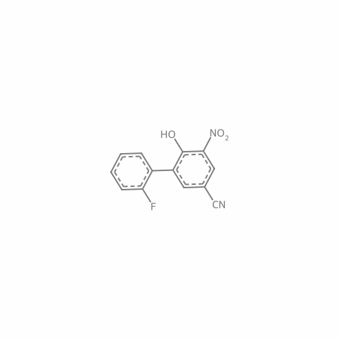 N#Cc1cc(-c2ccccc2F)c(O)c([N+](=O)[O-])c1